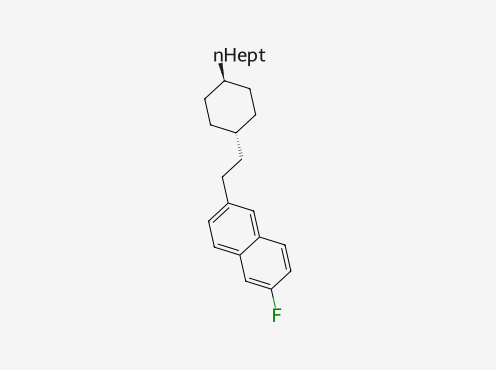 CCCCCCC[C@H]1CC[C@H](CCc2ccc3cc(F)ccc3c2)CC1